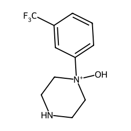 O[N+]1(c2cccc(C(F)(F)F)c2)CCNCC1